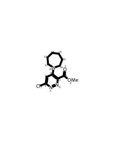 COC(=O)c1nnc(Cl)cc1N1CCCCCC1